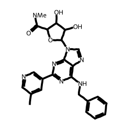 CNC(=O)C1OC(n2cnc3c(NCc4ccccc4)nc(-c4cncc(C)c4)nc32)C(O)C1O